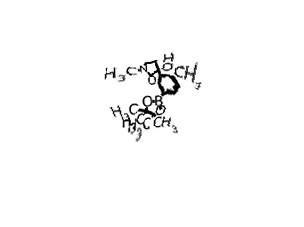 Cc1ccc(B2OC(C)(C)C(C)(C)O2)cc1[C@]1(O)CCN(C)C1=O